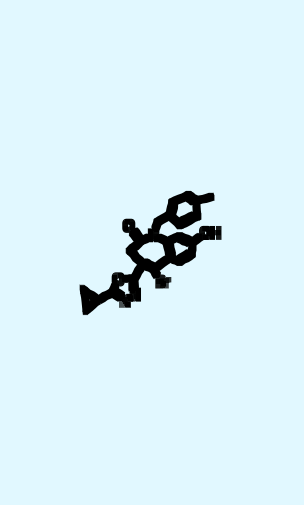 Cc1ccc(CN2C(=O)CC(c3nnc(C4CC4)o3)=C(Br)c3ccc(O)cc32)cc1